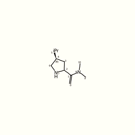 C=C(C1C[C@H](C(C)C)CN1)N(C)C